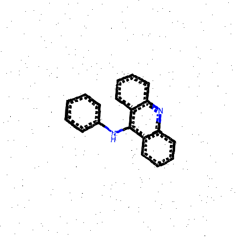 c1ccc(Nc2c3ccccc3nc3ccccc23)cc1